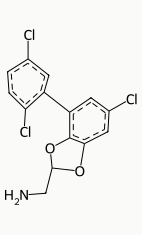 NCC1Oc2cc(Cl)cc(-c3cc(Cl)ccc3Cl)c2O1